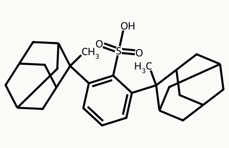 CC1(c2cccc(C3(C)C4CC5CC(C4)CC3C5)c2S(=O)(=O)O)C2CC3CC(C2)CC1C3